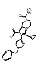 CC(C)(C)NC(=O)N1CCn2c(c(C(N)=O)c(-c3ccc(Oc4ccccc4)cc3)c2C2CC2)C1